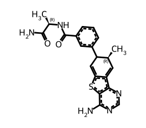 C[C@@H](NC(=O)c1cccc(C2C=c3sc4c(N)ncnc4c3=C[C@@H]2C)c1)C(N)=O